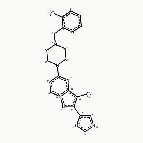 Cc1cccnc1CN1CCN(c2ccn3nc(-c4cnco4)c(C#N)c3n2)CC1